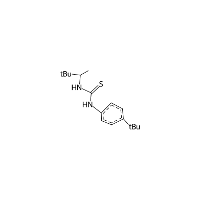 CC(NC(=S)Nc1ccc(C(C)(C)C)cc1)C(C)(C)C